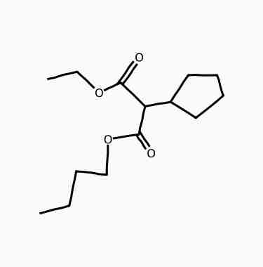 CCCCOC(=O)C(C(=O)OCC)C1CCCC1